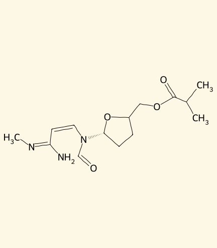 C/N=C(N)\C=C/N(C=O)[C@H]1CCC(COC(=O)C(C)C)O1